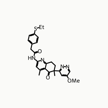 CCSc1ccc(CC(=O)Nc2cc(C)c3c(n2)CCC(C)(c2cc(OC)cnn2)C3=O)cc1